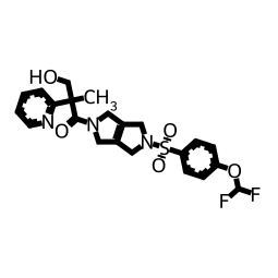 CC(CO)(C(=O)N1CC2=C(C1)CN(S(=O)(=O)c1ccc(OC(F)F)cc1)C2)c1ccccn1